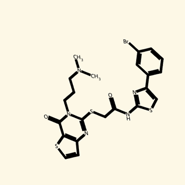 CN(C)CCCn1c(SCC(=O)Nc2nc(-c3cccc(Br)c3)cs2)nc2ccsc2c1=O